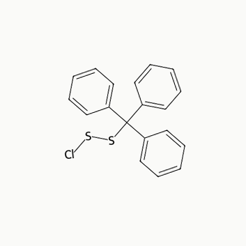 ClSSC(c1ccccc1)(c1ccccc1)c1ccccc1